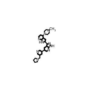 CN1CCN(c2ccnc3[nH]c(-c4n[nH]c5ncc(-c6cncc(CN7CCCC7)c6)cc45)cc23)CC1